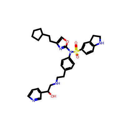 O=S(=O)(c1ccc2c(c1)CCN2)N(c1ccc(CCNCC(O)c2cccnc2)cc1)c1nc(CCC2CCCC2)co1